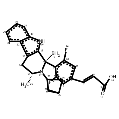 B[C@@]1(c2c(F)cc(/C=C/C(=O)O)cc2F)c2[nH]c3ccccc3c2C[C@@H](C)N1C12CC(C1)C2